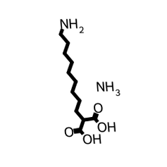 N.NCCCCCCCCCC(C(=O)O)C(=O)O